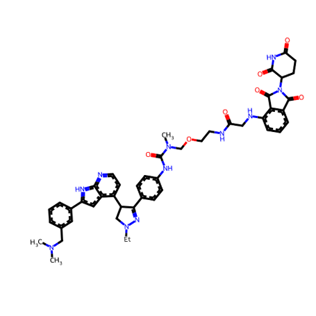 CCN1CC(c2ccnc3[nH]c(-c4cccc(CN(C)C)c4)cc23)C(c2ccc(NC(=O)N(C)COCCNC(=O)CNc3cccc4c3C(=O)N(C3CCC(=O)NC3=O)C4=O)cc2)=N1